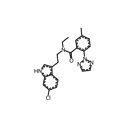 CCN(CCc1c[nH]c2cc(Cl)ccc12)C(=O)c1cc(C)ccc1-n1nccn1